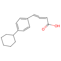 O=C(O)C=C=Cc1ccc(C2CCCCC2)cc1